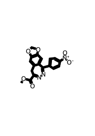 COC(=O)C1=NN=C(c2ccc([N+](=O)[O-])cc2)c2cc3c(cc2C1)OCO3